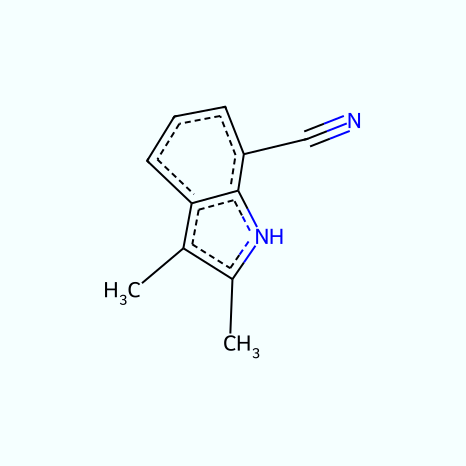 Cc1[nH]c2c(C#N)cccc2c1C